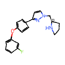 Fc1cccc(Oc2ccc(-c3ccn(C[C@H]4CCCN4)n3)cc2)c1